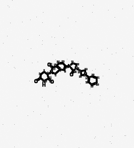 O=C1CCC(N2Cc3cc(N4CCN(C5CN(c6ccccc6)C5)C4=O)ccc3C2=O)C(=O)N1